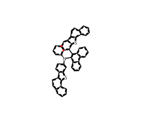 c1ccc(N(c2ccc3c(c2)sc2c4ccccc4ccc32)c2c(-c3cccc4c3sc3c5ccccc5ccc43)c3ccccc3c3ccccc23)cc1